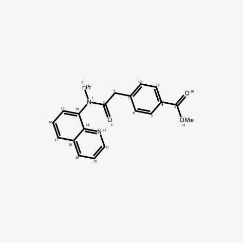 CCCN(C(=O)Cc1ccc(C(=O)OC)cc1)c1cccc2cccnc12